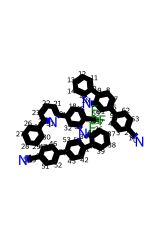 N#Cc1ccc(-c2ccc3c4ccccc4n(-c4cc(-c5cccc(-c6ccccc6)n5)cc(-n5c6ccccc6c6ccc(-c7ccc(C#N)cc7)cc65)c4C(F)(F)F)c3c2)cc1